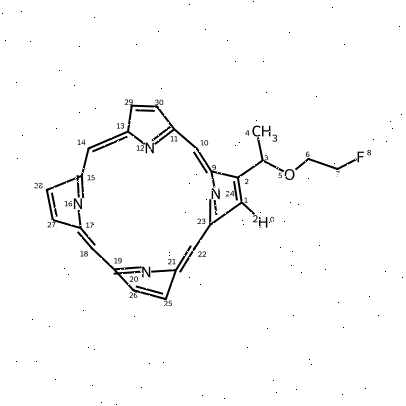 [2H]C1=C(C(C)OCCF)C2=CC3=NC(=CC4=NC(=CC5=NC(=CC1=N2)C=C5)C=C4)C=C3